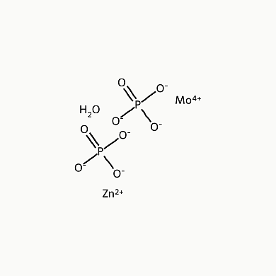 O.O=P([O-])([O-])[O-].O=P([O-])([O-])[O-].[Mo+4].[Zn+2]